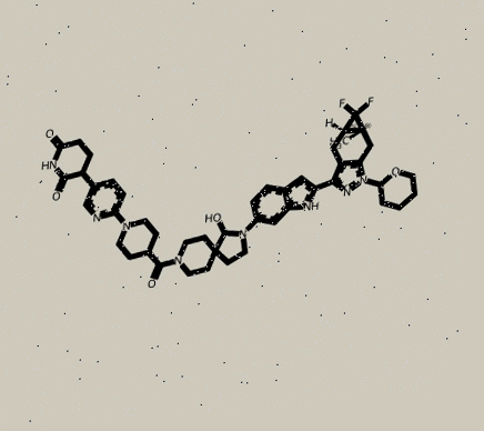 C[C@@]12Cc3c(c(-c4cc5ccc(N6CCC7(CCN(C(=O)C8CCN(c9ccc(C%10CCC(=O)NC%10=O)cn9)CC8)CC7)C6O)cc5[nH]4)nn3C3CCCCO3)C[C@@H]1C2(F)F